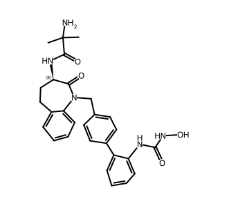 CC(C)(N)C(=O)N[C@@H]1CCc2ccccc2N(Cc2ccc(-c3ccccc3NC(=O)NO)cc2)C1=O